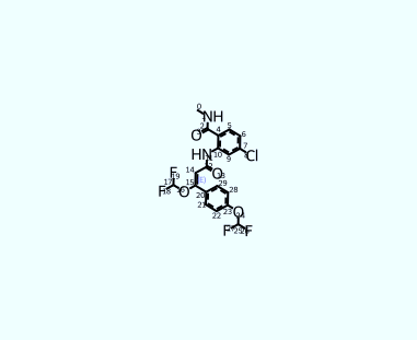 CNC(=O)c1ccc(Cl)cc1NC(=O)/C=C(/OC(F)F)c1ccc(OC(F)F)cc1